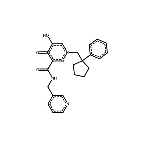 O=C(NCc1cccnc1)c1nn(CC2(c3ccccc3)CCCC2)cc(O)c1=O